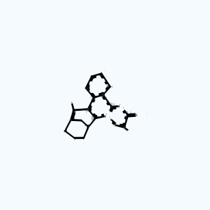 CC1=C2CCCC(C2)c2c1c1ccccc1c1nc(=O)c(C)cn21